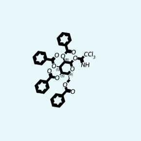 N=C(OC1O[C@H](COC(=O)c2ccccc2)[C@H](OC(=O)c2ccccc2)[C@H](OC(=O)c2ccccc2)[C@H]1OC(=O)c1ccccc1)C(Cl)(Cl)Cl